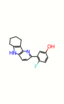 Oc1ccc(F)c(-c2ccc3[nH]c4c(c3n2)CCCC4)c1